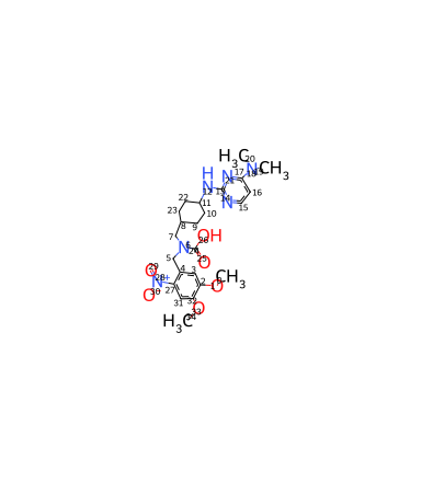 COc1cc(CN(CC2CCC(Nc3nccc(N(C)C)n3)CC2)C(=O)O)c([N+](=O)[O-])cc1OC